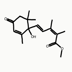 COC(=O)/C(C)=C(C)\C=C\C1(O)C(C)=CC(=O)CC1(C)C